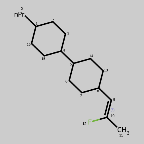 CCCC1CCC(C2CCC(/C=C(/C)F)CC2)CC1